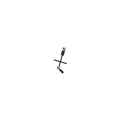 C=NC(C)(C)C#N